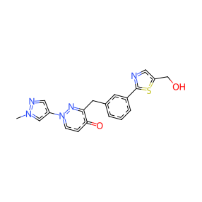 Cn1cc(-n2ccc(=O)c(Cc3cccc(-c4ncc(CO)s4)c3)n2)cn1